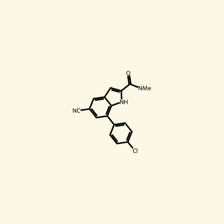 CNC(=O)c1cc2cc(C#N)cc(-c3ccc(Cl)cc3)c2[nH]1